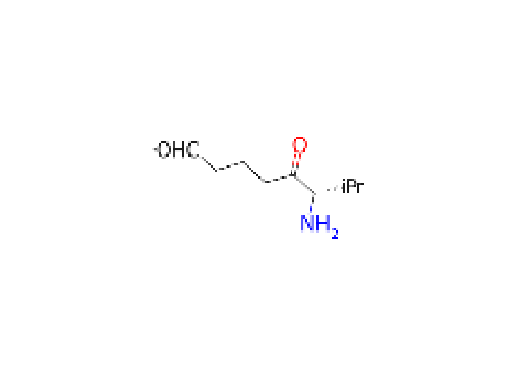 CC(C)[C@H](N)C(=O)CCC[C]=O